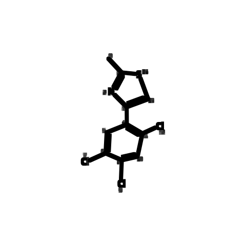 Cc1nc(-c2cc(Cl)c(Cl)cc2Cl)cs1